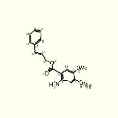 COc1cc(N)c(C(=O)OC/C=C/c2ccccc2)cc1OC